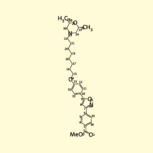 COC(=O)c1ccc(-c2cc(-c3ccc(OCCCCCCCCN4CC(C)OC(C)C4)cc3)on2)cc1